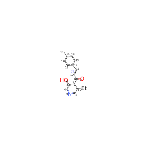 CCc1cncc(O)c1C(=O)/C=C/c1ccc(C)cc1